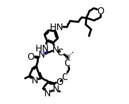 CCCC1(CCCCNc2ccc3c(c2)N2C[C@H](C)CCCOc4c(cnn4C)-c4cc(cc(C)n4)C(=O)/N=C/2N3)CCOCC1